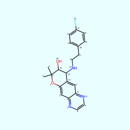 CC1(C)Oc2cc3nccnc3cc2C(NCCc2ccc(F)cc2)C1O